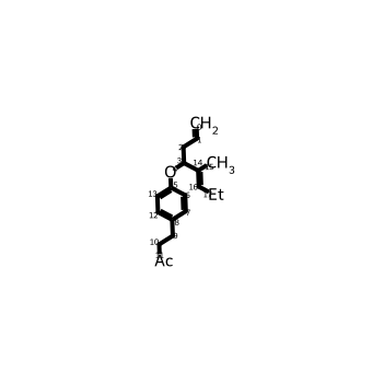 C=CCC(Oc1ccc(CCC(C)=O)cc1)C(C)=CCC